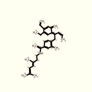 C=Cc1cc(=C)/c(=C(\C=C/C)Cc2ccc(C(=C)NCC/C(C)=C/C=C(C)C)cc2C)cc1CC